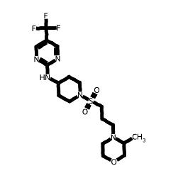 CC1COCCN1CCCS(=O)(=O)N1CCC(Nc2ncc(C(F)(F)F)cn2)CC1